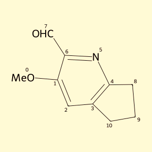 COc1cc2c(nc1C=O)CCC2